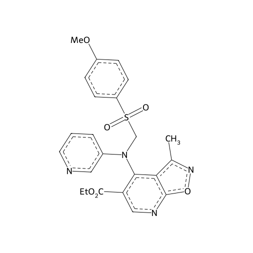 CCOC(=O)c1cnc2onc(C)c2c1N(CS(=O)(=O)c1ccc(OC)cc1)c1cccnc1